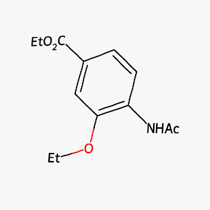 CCOC(=O)c1ccc(NC(C)=O)c(OCC)c1